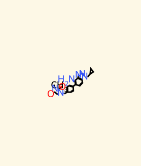 CN1C(=O)CN(Cc2ccc(-c3ccc4c(nnn4CC4CC4)c3N)cc2)C1=O